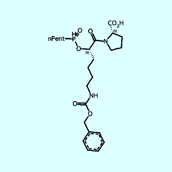 CCCCC[PH](=O)O[C@@H](CCCCNC(=O)OCc1ccccc1)C(=O)N1CCC[C@H]1C(=O)O